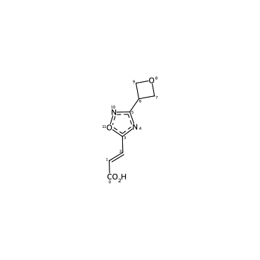 O=C(O)/C=C/c1nc(C2COC2)no1